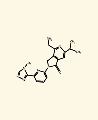 CCCn1cnnc1-c1cccc(N2Cc3c(cc(N(C)C)nc3CN)C2=O)n1